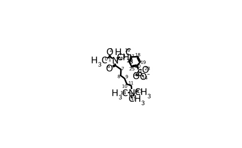 CC(=O)N(C)C(=O)CCCCC[N+](C)(C)C.Cc1ccc(S(=O)(=O)[O-])cc1